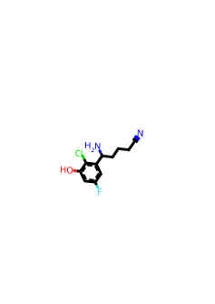 N#CCCCC(N)c1cc(F)cc(O)c1Cl